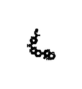 Cc1c(N2CCc3cnc(Nc4ccc([C@H](C)[S+]=O)nc4)nc3C2)cnc2c1NCCO2